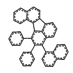 c1ccc(-c2c(-c3ccccc3)c3c4c(cccc4c2-c2cccc4ccccc24)-c2ccc4ccccc4c2-3)cc1